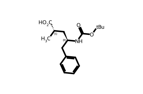 C[C@@H](C[C@H](Cc1ccccc1)NC(=O)OC(C)(C)C)C(=O)O